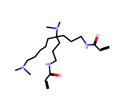 C=CC(=O)NCCCC(CCCCCN(C)C)(CCCNC(=O)C=C)N(C)C